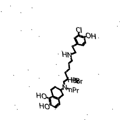 Br.Br.CCCN(CCCCCCNCCc1ccc(O)c(Cl)c1)C1CCc2c(ccc(O)c2O)C1